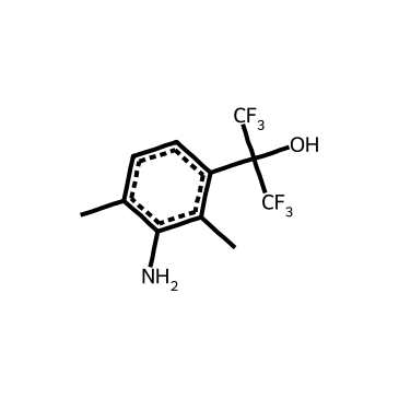 Cc1ccc(C(O)(C(F)(F)F)C(F)(F)F)c(C)c1N